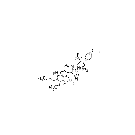 C=CC1C(CCCC)=C(F)C=C(O/C2=C(C#N)/C(NC(=C)/C=C(\C(=C/C)N3CCN(C)CC3)C(F)(F)F)=N\C=C\CC2C)C1(C)F